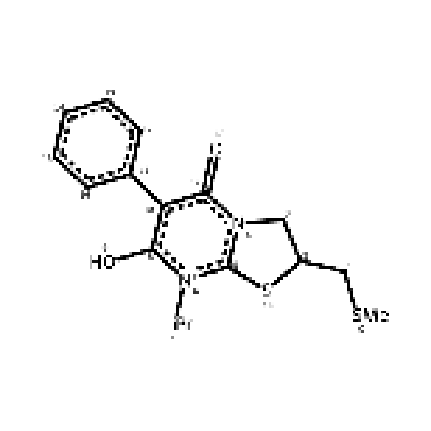 CSCC1Cn2c([n+](C(C)C)c(O)c(-c3ccccc3)c2=O)S1